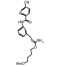 COCCCCO/C(N)=N/Cc1cccc(NC(=O)c2ccc(C#N)cn2)c1